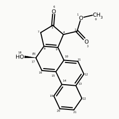 COC(=O)C1C(=O)CC2=C1c1ccc3c(c1=C[C@H]2O)=CC=CC3